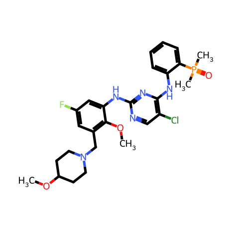 COc1c(CN2CCC(OC)CC2)cc(F)cc1Nc1ncc(Cl)c(Nc2ccccc2P(C)(C)=O)n1